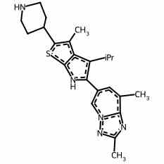 Cc1nc2c(C)cc(-c3[nH]c4sc(C5CCNCC5)c(C)c4c3C(C)C)cn2n1